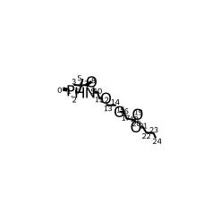 C#P(C)CC(C)(C)C(=O)NCCOCCOCCC(=O)OCCCC